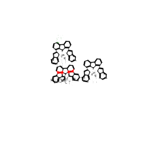 C[SiH](C)[Zr]([CH3])([CH3])([CH]1C=Cc2ccccc21)([CH]1C=Cc2ccccc21)[CH]1c2ccccc2-c2ccccc21.C[SiH](C)[Zr]([CH]1C=Cc2ccccc21)([CH]1C=Cc2ccccc21)[CH]1c2ccccc2-c2ccccc21.C[SiH](C)[Zr]([CH]1C=Cc2ccccc21)([CH]1C=Cc2ccccc21)[CH]1c2ccccc2-c2ccccc21.[Cl-].[Cl-]